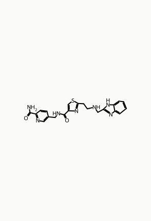 NC(=O)c1ccc(CNC(=O)c2csc(CCNCc3nc4ccccc4[nH]3)n2)cn1